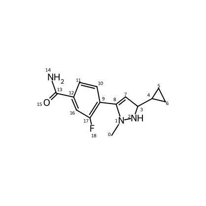 CN1NC(C2CC2)C=C1c1ccc(C(N)=O)cc1F